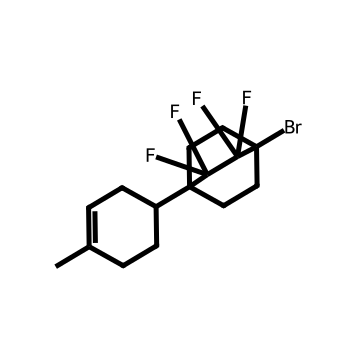 CC1=CCC(C23CCC(Br)(CC2)C(F)(F)C3(F)F)CC1